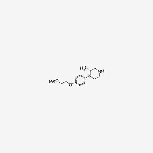 COCCOc1ccc(N2CCNC[C@H]2C)cc1